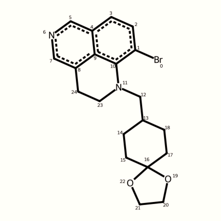 Brc1ccc2cncc3c2c1N(CC1CCC2(CC1)OCCO2)CC3